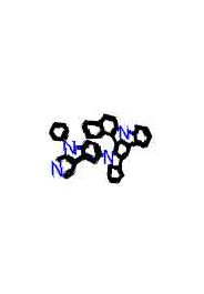 c1ccc(-n2c3ccc(-n4c5ccccc5c5cc6c7ccccc7n7c8ccc9ccccc9c8c(c54)c67)cc3c3ccncc32)cc1